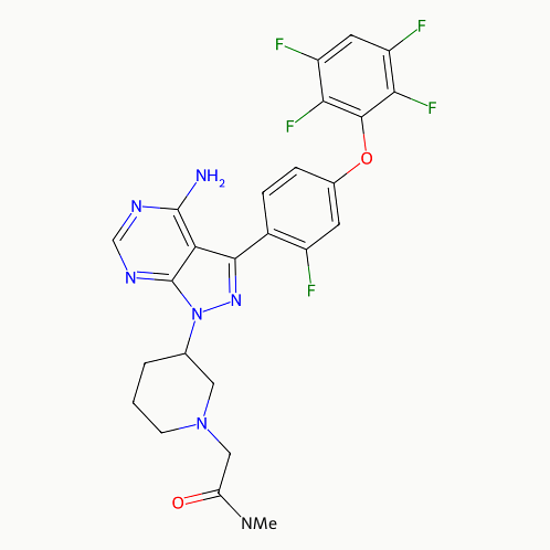 CNC(=O)CN1CCCC(n2nc(-c3ccc(Oc4c(F)c(F)cc(F)c4F)cc3F)c3c(N)ncnc32)C1